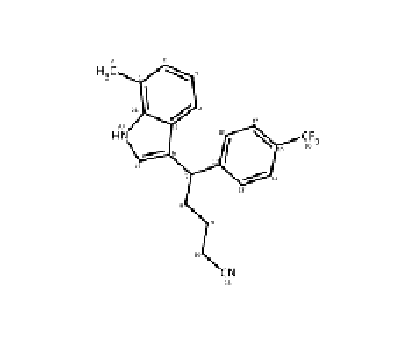 Cc1cccc2c(C(CCCC#N)c3ccc(C(F)(F)F)cc3)c[nH]c12